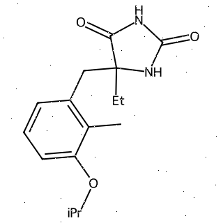 CCC1(Cc2cccc(OC(C)C)c2C)NC(=O)NC1=O